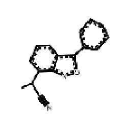 CC(C#N)c1cccc2c(-c3ccccc3)onc12